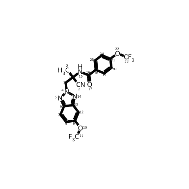 CC(C#N)(Cn1nc2ccc(OC(F)(F)F)cc2n1)NC(=O)c1ccc(OC(F)(F)F)cc1